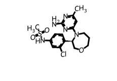 Cc1cc(N2CCCOC[C@H]2c2ccc(NS(C)(=O)=O)cc2Cl)nc(N)n1